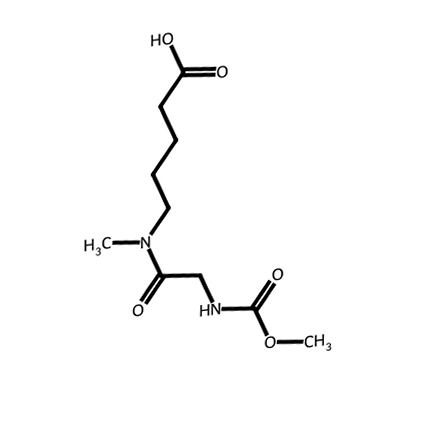 COC(=O)NCC(=O)N(C)CCCCC(=O)O